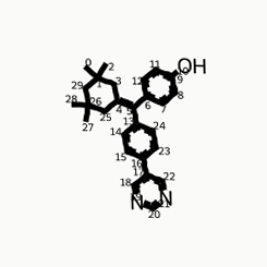 CC1(C)CC(=C(c2ccc(O)cc2)c2ccc(-c3cncnc3)cc2)CC(C)(C)C1